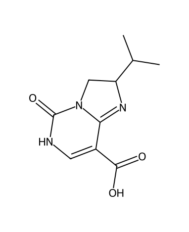 CC(C)C1CN2C(=O)NC=C(C(=O)O)C2=N1